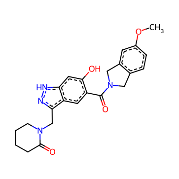 COc1ccc2c(c1)CN(C(=O)c1cc3c(CN4CCCCC4=O)n[nH]c3cc1O)C2